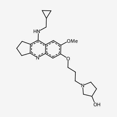 COc1cc2c(NCC3CC3)c3c(nc2cc1OCCCN1CCC(O)C1)CCC3